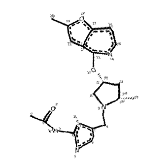 CC(=O)Nc1ncc(CN2C[C@H](Oc3nccc4oc(C)cc34)C[C@@H]2C)s1